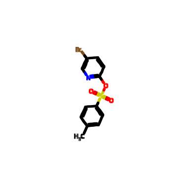 Cc1ccc(S(=O)(=O)Oc2ccc(Br)cn2)cc1